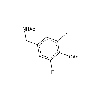 CC(=O)NCc1cc(F)c(OC(C)=O)c(F)c1